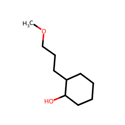 COCCCC1CCCCC1O